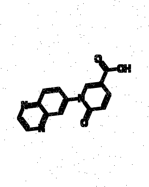 O=C(O)c1ccc(=O)n(-c2ccc3nccnc3c2)c1